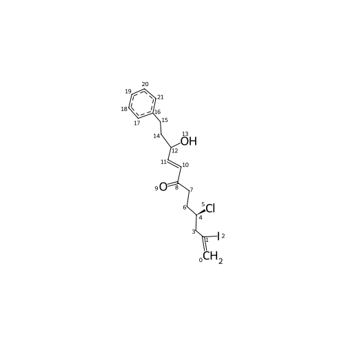 C=C(I)C[C@H](Cl)CCC(=O)/C=C/C(O)CCc1ccccc1